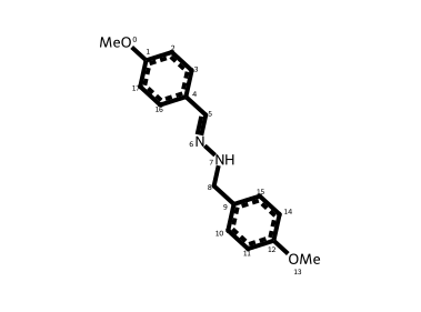 COc1ccc(C=NNCc2ccc(OC)cc2)cc1